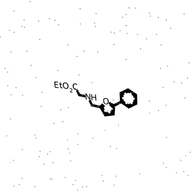 CCOC(=O)CNCc1ccc(-c2ccccc2)o1